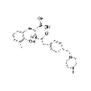 Cc1cccc(C[C@H](NC(=O)Cc2ccc(CN3CCNCC3)cc2)B(O)O)c1O